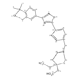 CC1(C)OCc2cc(-c3noc(-c4ccc(CN5CCC(OC(=O)O)(OC(=O)O)CC5)cc4)n3)ccc21